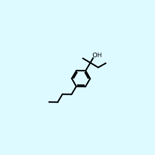 CCCCc1ccc(C(C)(O)CC)cc1